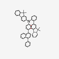 CC1(C)c2ccccc2-c2ccc(N(c3ccc(-c4ccc(-c5ccccc5)c5ccccc45)cc3)c3ccccc3-c3ccc4c(c3)C(C)(C)C3C=CC=CC43)cc21